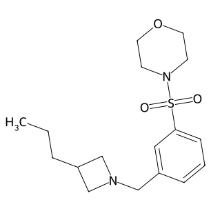 CCCC1CN(Cc2cccc(S(=O)(=O)N3CCOCC3)c2)C1